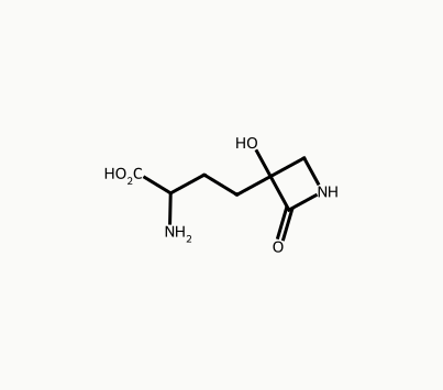 NC(CCC1(O)CNC1=O)C(=O)O